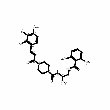 COc1cccc(OC)c1C(=O)NC[C@H](NC(=O)C1CCN(C(=O)/C=C/c2ccc(SC)c(Cl)c2Cl)CC1)C(=O)O